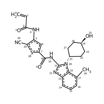 C=CC(=O)Nc1cc(C(=O)Nc2nc3cccc(C)c3n2[C@H]2CC[C@H](O)CC2)sc1C#N